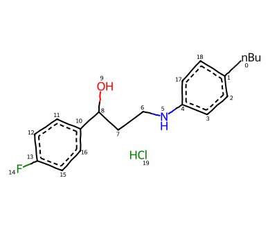 CCCCc1ccc(NCCC(O)c2ccc(F)cc2)cc1.Cl